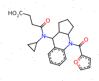 O=C(O)CCC(=O)N(C1CC1)C1c2ccccc2N(C(=O)c2ccco2)C2CCCC21